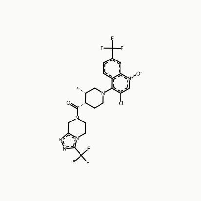 C[C@@H]1CN(c2c(Cl)c[n+]([O-])c3cc(C(F)(F)F)ccc23)CC[C@@H]1C(=O)N1CCn2c(nnc2C(F)(F)F)C1